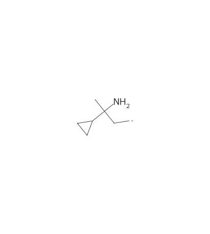 [CH2]CC(C)(N)C1CC1